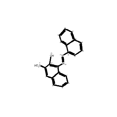 O=S(=O)(O)c1cc2ccccc2c(/N=N/c2cccc3ccccc23)c1O